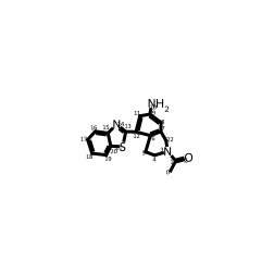 CC(=O)N1CCc2c(cc(N)cc2-c2nc3ccccc3s2)C1